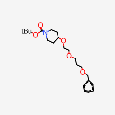 CC(C)(C)OC(=O)N1CCC(OCCOCCCOCc2ccccc2)CC1